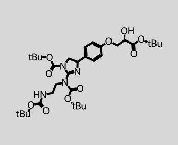 CC(C)(C)OC(=O)NCCN(C(=O)OC(C)(C)C)C1=NC(c2ccc(OC[C@@H](O)C(=O)OC(C)(C)C)cc2)CN1C(=O)OC(C)(C)C